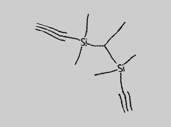 C#C[Si](C)(C)C(C)[Si](C)(C)C#C